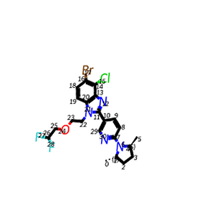 C[C@H]1CC[C@H](C)N1c1ccc(-c2nc3c(Cl)c(Br)ccc3n2CCOCC(F)F)cn1